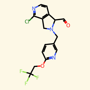 O=CC1c2ccnc(Cl)c2CN1Cc1ccc(OCC(F)(F)F)nc1